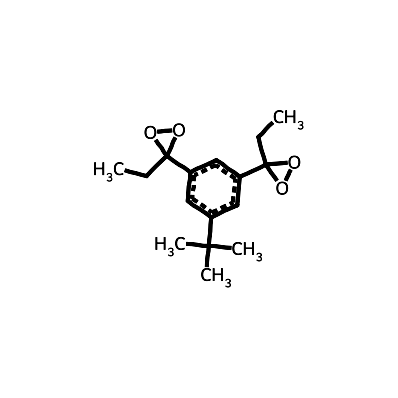 CCC1(c2cc(C(C)(C)C)cc(C3(CC)OO3)c2)OO1